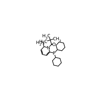 CC(C)(C)C(=O)N1C(P(C2CCCCC2)C2CCCCC2)=CC=CC1N